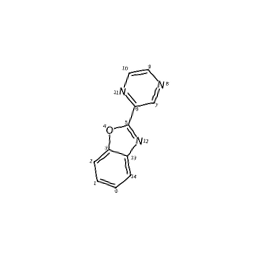 c1ccc2oc(-c3cnccn3)nc2c1